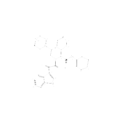 O=C(C(=O)N(CCN1CCNCC1)C(C(=O)NC1CCCCC1)C1CCCCC1)c1c[nH]c2ccccc12